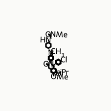 CNC(=O)CN[C@H]1CC[C@H](CN(C)c2ccc(N3C(=O)Cc4cc(OC)c(OC(C)C)cc4[C@@H]3c3ccc(Cl)cc3)cc2)CC1